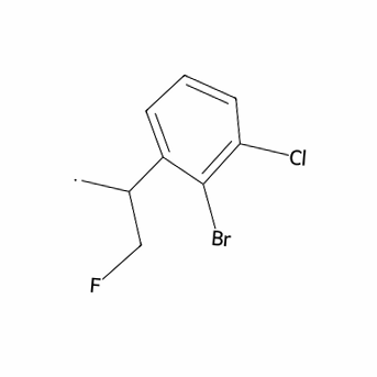 [CH2]C(CF)c1cccc(Cl)c1Br